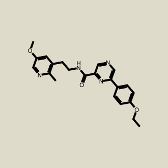 CCOc1ccc(-c2cncc(C(=O)NCCc3cc(OC)cnc3C)n2)cc1